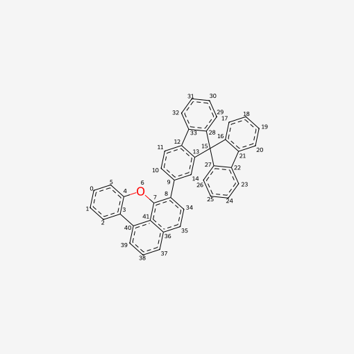 c1ccc2c(c1)Oc1c(-c3ccc4c(c3)C3(c5ccccc5-c5ccccc53)c3ccccc3-4)ccc3cccc-2c13